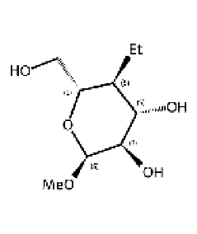 CC[C@H]1[C@H](O)[C@@H](O)[C@@H](OC)O[C@@H]1CO